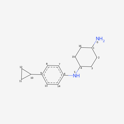 NC1CCC(Nc2ccc(C3CC3)cc2)CC1